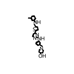 Cc1cccc(NCc2ccc(-c3ccnc(Nc4cccc(CN5CCC(O)CC5)c4)n3)s2)c1